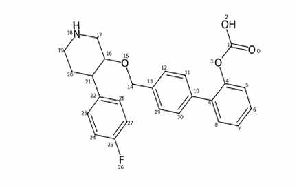 O=C(O)Oc1ccccc1-c1ccc(COC2CNCCC2c2ccc(F)cc2)cc1